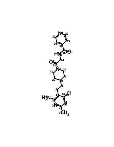 Cc1nc(N)c(CCC2CCN(C(=O)CNC(=O)c3ccncc3)CC2)c(Cl)n1